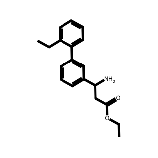 CCOC(=O)CC(N)c1cccc(-c2ccccc2CC)c1